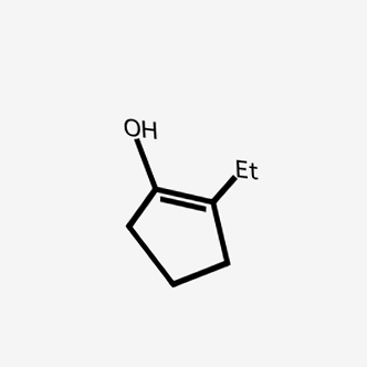 CCC1=C(O)CCC1